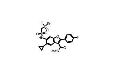 CCS(=O)(=O)CS(=O)(=O)Nc1cc2oc(-c3ccc(F)cc3)c(C(=O)NC)c2cc1C1CC1